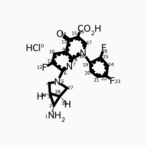 Cl.N[C@@H]1[C@H]2CN(c3nc4c(cc3F)c(=O)c(C(=O)O)cn4-c3ccc(F)cc3F)C[C@@H]12